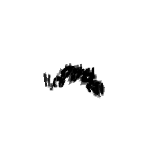 C=CC(=O)N1CCC[C@@H](Nc2nncc(Nc3ccc(-n4cncn4)cc3)n2)C1